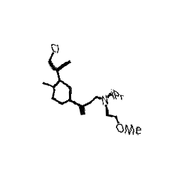 C=C(CN(CCOC)C(C)C)C1CCC(C)C(C(=C)CCl)C1